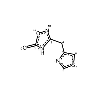 O=c1[nH]c(Cc2cscn2)no1